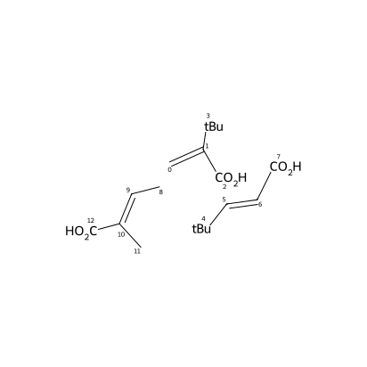 C=C(C(=O)O)C(C)(C)C.CC(C)(C)C=CC(=O)O.CC=C(C)C(=O)O